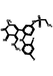 CCS(=O)(=O)Nc1ccc(Nc2ccc(F)cc2F)c(C2=CN(C)C(=O)C(=N)/C2=C\NC)c1